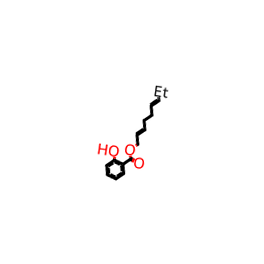 CCC=CCCC=CCOC(=O)c1ccccc1O